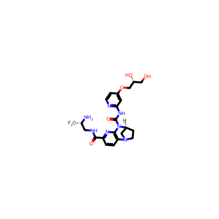 N[C@H](CNC(=O)c1ccc2c(n1)N(C(=O)Nc1cc(OC[C@H](O)CO)ccn1)[C@H]1CCN2C1)C(F)(F)F